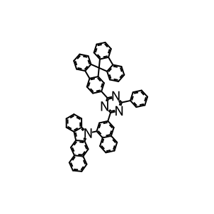 c1ccc(-c2nc(-c3ccc4c(c3)C3(c5ccccc5-c5ccccc53)c3ccccc3-4)nc(-c3cc(-n4c5ccccc5c5cc6ccccc6cc54)c4ccccc4c3)n2)cc1